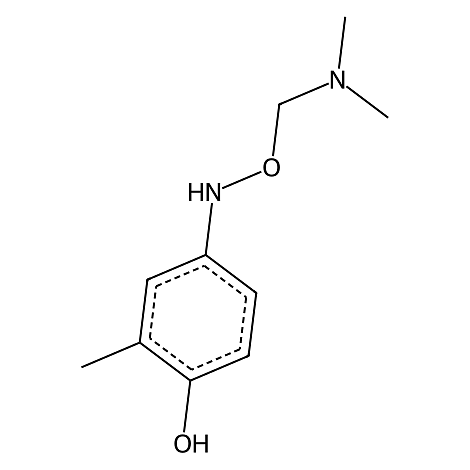 Cc1cc(NOCN(C)C)ccc1O